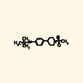 C[Si](C)(C)C#Cc1ccc(C2CCN(S(C)(=O)=O)CC2)cc1